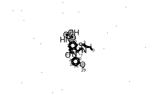 CCc1csc([C@](C)(c2ccc(NS(=O)(=O)O)cc2)N(C(C)=O)c2cccc(OC)c2)n1